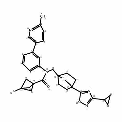 Cc1ccc(-c2cccc(N(CC34CCC(c5nc(C6CC6)no5)(CC3)CC4)C(=O)C34CC(F)(C3)C4)c2)cn1